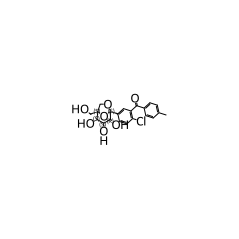 Cc1ccc(C(=O)c2cc([C@]34OC[C@](CO)(O3)[C@@H](O)[C@H](O)[C@H]4O)ccc2Cl)cc1